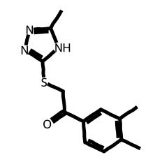 Cc1nnc(SCC(=O)c2ccc(C)c(C)c2)[nH]1